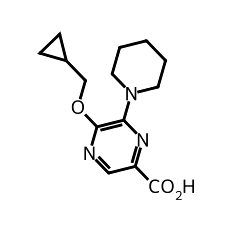 O=C(O)c1cnc(OCC2CC2)c(N2CCCCC2)n1